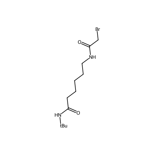 CC(C)(C)NC(=O)CCCCCNC(=O)CBr